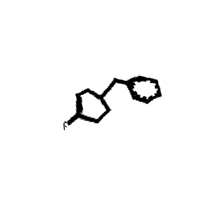 FC1=CCC(Cc2ccccc2)CC1